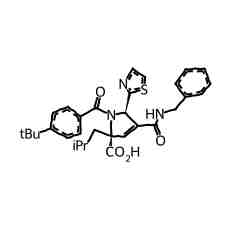 CC(C)C[C@@]1(C(=O)O)C=C(C(=O)NCc2ccccc2)[C@H](c2nccs2)N1C(=O)c1ccc(C(C)(C)C)cc1